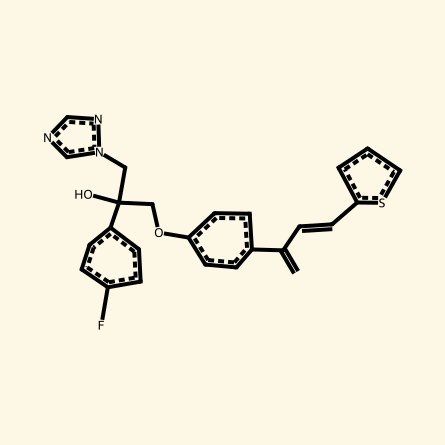 C=C(/C=C/c1cccs1)c1ccc(OCC(O)(Cn2cncn2)c2ccc(F)cc2)cc1